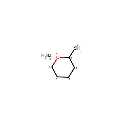 [BaH2].[SiH3]C1CCCCO1